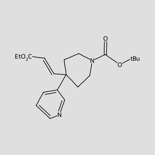 CCOC(=O)/C=C/C1(c2cccnc2)CCN(C(=O)OC(C)(C)C)CC1